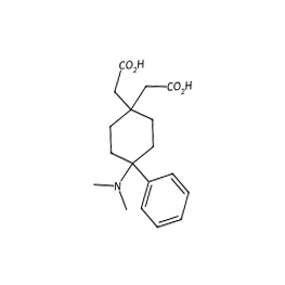 CN(C)C1(c2ccccc2)CCC(CC(=O)O)(CC(=O)O)CC1